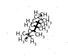 CC(O[Si](C)(C)C)C(C)(C)C(C)(C)[Si](C)(C)C